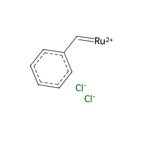 [Cl-].[Cl-].[Ru+2]=[CH]c1ccccc1